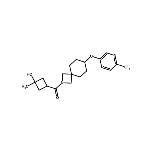 CC1(O)CC(C(=O)N2CC3(CCC(Oc4ccc(C(F)(F)F)nc4)CC3)C2)C1